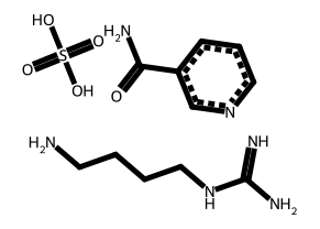 N=C(N)NCCCCN.NC(=O)c1cccnc1.O=S(=O)(O)O